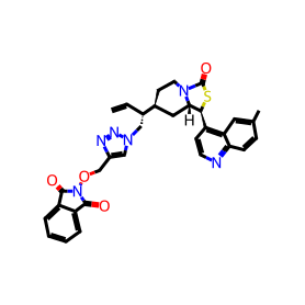 C=C[C@@H](Cn1cc(CON2C(=O)c3ccccc3C2=O)nn1)[C@H]1CCN2C(=O)S[C@@H](c3ccnc4ccc(C)cc34)[C@@H]2C1